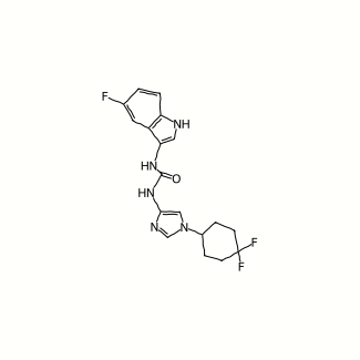 O=C(Nc1cn(C2CCC(F)(F)CC2)cn1)Nc1c[nH]c2ccc(F)cc12